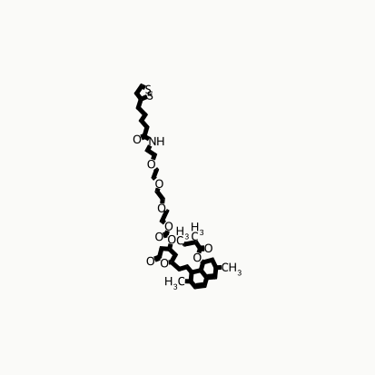 CCC(C)C(=O)OC1CC(C)C=C2C=CC(C)C(CCC3CC(OC(=O)OCCOCCOCCOCCNC(=O)CCCCC4CCSS4)CC(=O)O3)C21